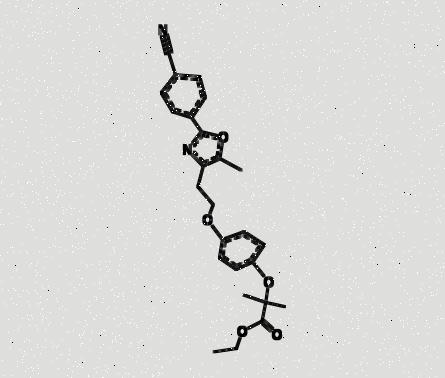 CCOC(=O)C(C)(C)Oc1ccc(OCCc2nc(-c3ccc(C#N)cc3)oc2C)cc1